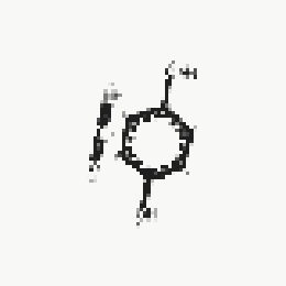 COc1ccc(O)cc1.N=C=O